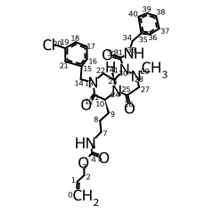 C=CCOC(=O)NCCC[C@H]1C(=O)N(Cc2cccc(Cl)c2)C[C@H]2N1C(=O)CN(C)N2C(=O)NCc1ccccc1